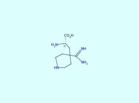 N=C(N)C1(C[C@H](N)C(=O)O)CCNCC1